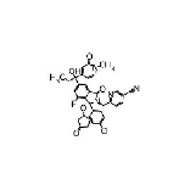 CCC(O)(c1cc(F)c2c(c1)C(=O)N(Cc1ccc(C#N)cn1)[C@@]2(O[C@H]1CCC(=O)C1)c1ccc(Cl)cc1)c1ccn(C)c(=O)c1